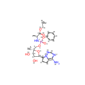 C[C@H](N[P@](=O)(OC[C@@]1(C#N)O[C@@H](c2ccc3c(N)ncnn23)[C@H](O)[C@@H]1O)Oc1ccccc1)C(=O)OCC(C)(C)C